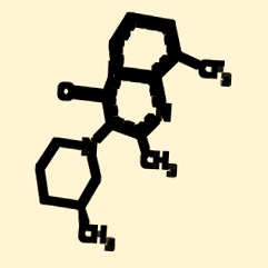 Cc1nc2c(C(F)(F)F)cccn2c(=O)c1N1CCC[C@H](C)C1